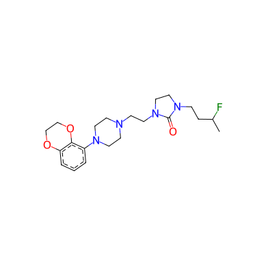 CC(F)CCN1CCN(CCN2CCN(c3cccc4c3OCCO4)CC2)C1=O